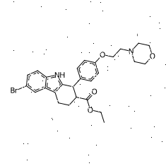 CCOC(=O)C1CCc2c([nH]c3ccc(Br)cc23)C1c1ccc(OCCN2CCOCC2)cc1